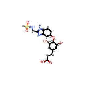 CS(=O)(=O)NCc1nc2cc(Oc3c(Br)cc(CCC(=O)O)cc3Br)ccc2[nH]1